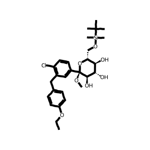 CCOc1ccc(Cc2cc([C@]3(OC)O[C@H](CO[Si](C)(C)C(C)(C)C)[C@@H](O)[C@H](O)[C@H]3O)ccc2Cl)cc1